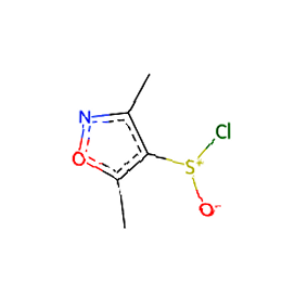 Cc1noc(C)c1[S+]([O-])Cl